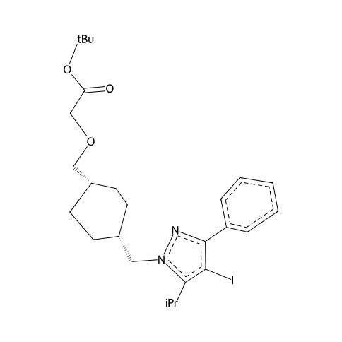 CC(C)c1c(I)c(-c2ccccc2)nn1C[C@H]1CC[C@@H](COCC(=O)OC(C)(C)C)CC1